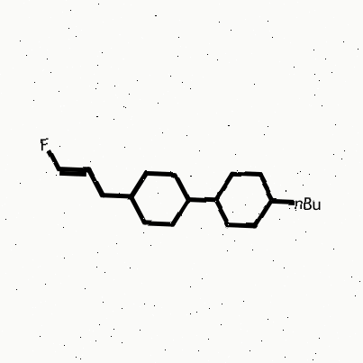 CCCCC1CCC(C2CCC(C/C=C/F)CC2)CC1